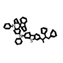 CC(c1ccc2c(c1)sc1cc(N(c3ccccc3)c3ccc4c(c3)C3(c5ccccc5-c5ccccc53)c3ccccc3N4c3ccccc3)ccc12)C(Cc1ccccc1)c1ccccc1